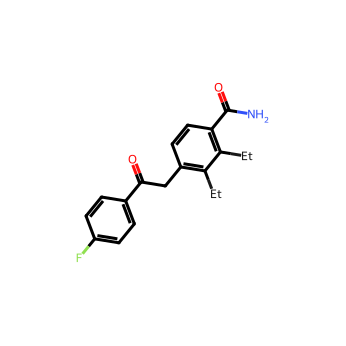 CCc1c(CC(=O)c2ccc(F)cc2)ccc(C(N)=O)c1CC